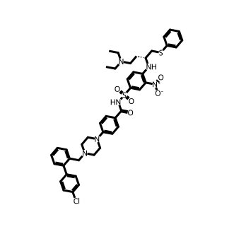 CCN(CC)CC[C@H](CSc1ccccc1)Nc1ccc(S(=O)(=O)NC(=O)c2ccc(N3CCN(Cc4ccccc4-c4ccc(Cl)cc4)CC3)cc2)cc1[N+](=O)[O-]